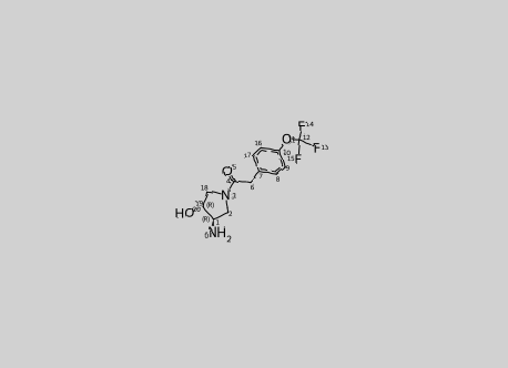 N[C@@H]1CN(C(=O)Cc2ccc(OC(F)(F)F)cc2)C[C@H]1O